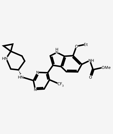 CCOc1c(NC(=O)OC)ccc2c(-c3nc(N[C@H]4CCC5(CC5)NC4)ncc3C(F)(F)F)c[nH]c12